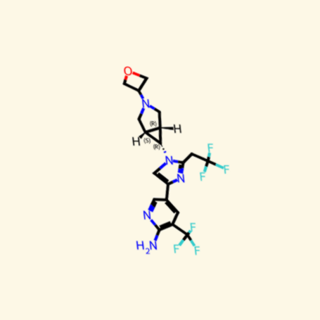 Nc1ncc(-c2cn([C@@H]3[C@@H]4CN(C5COC5)C[C@@H]43)c(CC(F)(F)F)n2)cc1C(F)(F)F